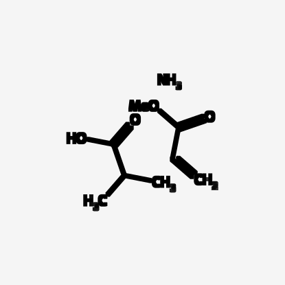 C=CC(=O)OC.CC(C)C(=O)O.N